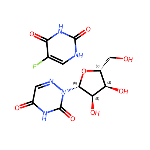 O=c1[nH]cc(F)c(=O)[nH]1.O=c1cnn([C@@H]2O[C@H](CO)[C@@H](O)[C@H]2O)c(=O)[nH]1